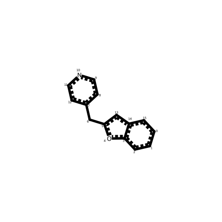 c1ccc2oc(Cc3ccncc3)cc2c1